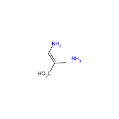 CC(=CN)C(=O)O.N